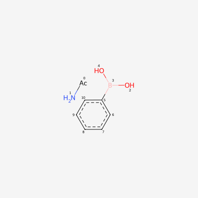 CC(N)=O.OB(O)c1ccccc1